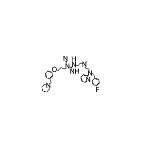 CN(CCNC(=N)N(C#N)CCCOc1cccc(CN2CCCCC2)c1)CCN(Cc1ccc(F)cc1)c1ccccn1